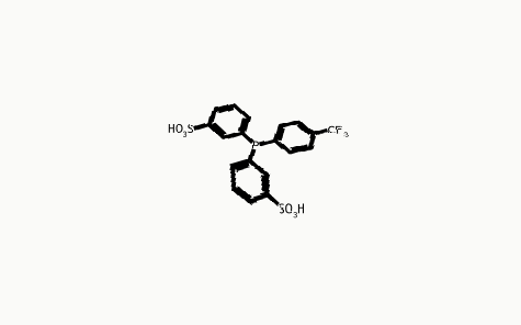 O=S(=O)(O)c1cccc(P(c2ccc(C(F)(F)F)cc2)c2cccc(S(=O)(=O)O)c2)c1